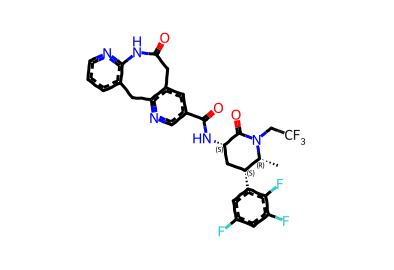 C[C@@H]1[C@H](c2cc(F)cc(F)c2F)C[C@H](NC(=O)c2cnc3c(c2)CC(=O)Nc2ncccc2C3)C(=O)N1CC(F)(F)F